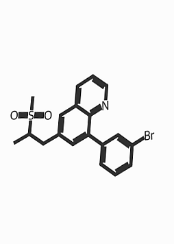 CC(Cc1cc(-c2cccc(Br)c2)c2ncccc2c1)S(C)(=O)=O